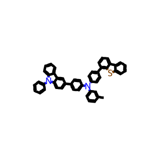 Cc1cccc(N(c2ccc(-c3ccc4c(c3)c3ccccc3n4-c3ccccc3)cc2)c2ccc(-c3cccc4c3sc3ccccc34)cc2)c1